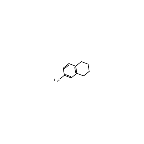 Cc1ccc2c(c1)CC[CH]C2